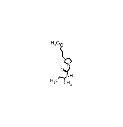 CCC(C)NC(=O)CN1CC[C@H](CCCOC)C1